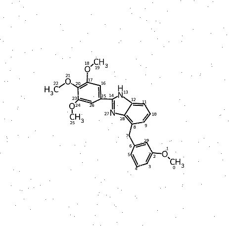 COc1cccc(Cc2cccc3[nH]c(-c4cc(OC)c(OC)c(OC)c4)nc23)c1